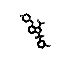 O=S(=O)(c1cccc(Br)c1)n1cc(C(F)F)c2c(CN3CCNCC3)cccc21